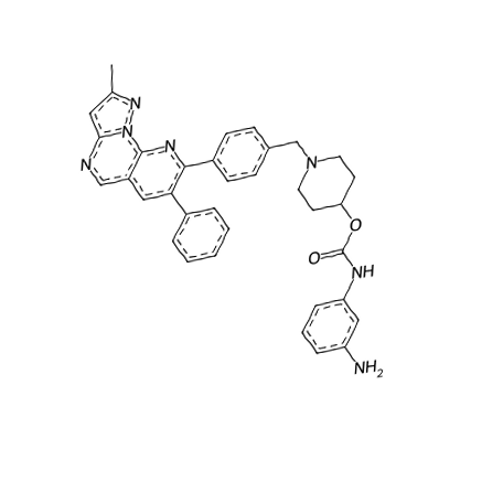 Cc1cc2ncc3cc(-c4ccccc4)c(-c4ccc(CN5CCC(OC(=O)Nc6cccc(N)c6)CC5)cc4)nc3n2n1